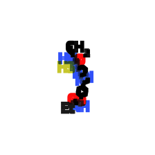 C=CCNC(=O)N(S)c1ccc2ncc(-c3ccc(OC(=O)NCC)cc3)nc2n1